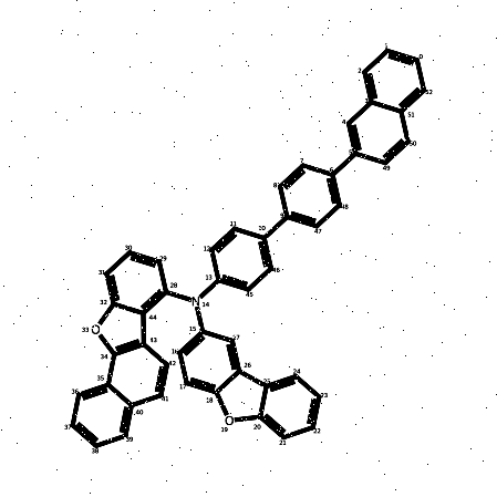 c1ccc2cc(-c3ccc(-c4ccc(N(c5ccc6oc7ccccc7c6c5)c5cccc6oc7c8ccccc8ccc7c56)cc4)cc3)ccc2c1